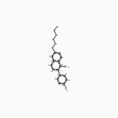 CCCCCCc1ccc2c(F)c(-c3ccc(F)cc3)ccc2c1